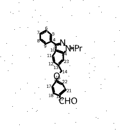 CC(C)n1nc(-c2ccccc2)c2ccc(COc3ccc(C=O)cc3)cc21